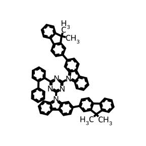 CC1(C)c2ccccc2-c2ccc(-c3ccc4c5ccccc5n(-c5nc(-c6ccccc6-c6ccccc6)nc(-n6c7ccccc7c7ccc(-c8ccc9c(c8)C(C)(C)c8ccccc8-9)cc76)n5)c4c3)cc21